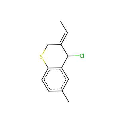 C/C=C1\CSc2ccc(C)cc2C1Cl